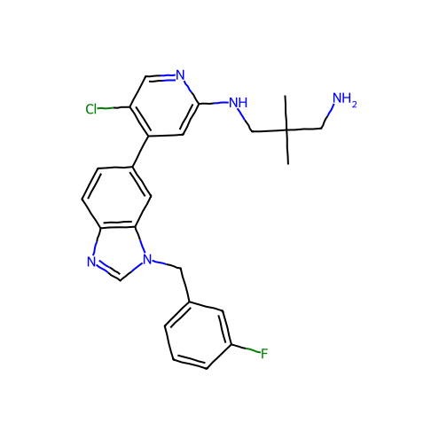 CC(C)(CN)CNc1cc(-c2ccc3ncn(Cc4cccc(F)c4)c3c2)c(Cl)cn1